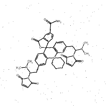 CN(C)C(Cc1ccc2c(c1)[Si]1(CCCCC1)c1cc(CC(N(C)C)N3C(=O)C=CC3=O)ccc1C21OC(=O)c2cc(C(N)=O)ccc21)N1C(=O)C=CC1=O